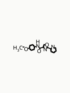 CCOc1ccc(NC(=O)c2coc(-c3ccccn3)n2)cc1